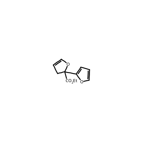 CCOC(=O)C1(c2ccco2)CC=CO1